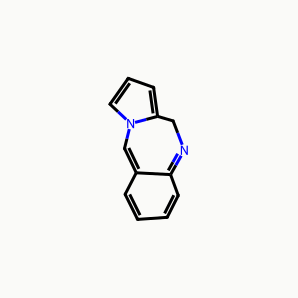 C1=c2ccccc2=NCc2cccn21